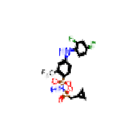 O=S(=O)(CC1CC1)NS(=O)(=O)c1ccc(Nc2ccc(F)cc2F)cc1C(F)(F)F